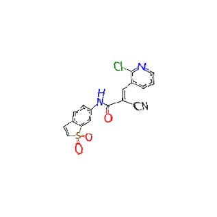 N#CC(=Cc1cccnc1Cl)C(=O)Nc1ccc2c(c1)S(=O)(=O)C=C2